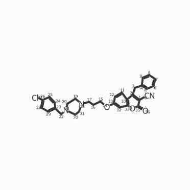 N#Cc1c(Cc2ccccc2)c2ccc(OCCCN3CCN(Cc4ccc(Cl)cc4)CC3)cc2oc1=O